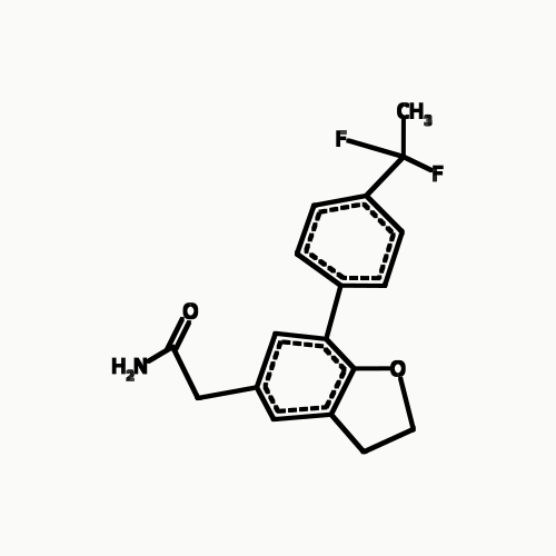 CC(F)(F)c1ccc(-c2cc(CC(N)=O)cc3c2OCC3)cc1